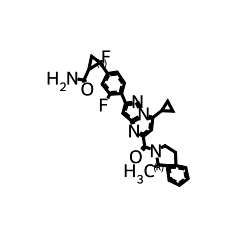 C[C@@H]1c2ccccc2CCN1C(=O)c1cc(C2CC2)n2nc(-c3ccc([C@]4(F)CC4C(N)=O)cc3F)cc2n1